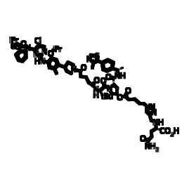 Cc1cc(Nc2ncc(Cl)c(Nc3ccccc3S(=O)(=O)C(C)C)n2)c(OC(C)C)cc1C1CCN(C(=O)CCCC(=O)N[C@H](C(=O)N2C[C@H](OC(=O)CCCCn3cc(CN[C@@H](CCC(N)=O)C(=O)O)nn3)C[C@H]2C(=O)N[C@@H](C)c2ccc(-c3scnc3C)cc2)C(C)(C)C)CC1